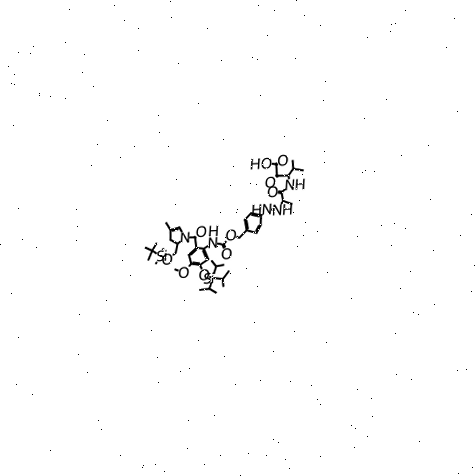 COc1cc(C(=O)N2C=C(C)CC2CO[Si](C)(C)C(C)(C)C)c(NC(=O)OCc2ccc(NNC(C)C(=O)NC(C(=O)C(=O)O)C(C)C)cc2)cc1O[Si](C(C)C)(C(C)C)C(C)C